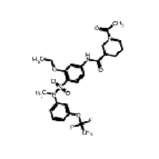 CCOc1cc(NC(=O)C2CCCN(C(C)=O)C2)ccc1S(=O)(=O)N(C)c1cccc(OC(C)(F)F)c1